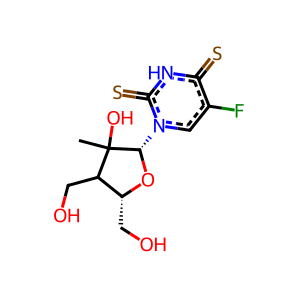 CC1(O)C(CO)[C@@H](CO)O[C@H]1n1cc(F)c(=S)[nH]c1=S